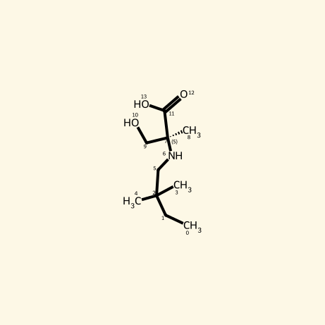 CCC(C)(C)CN[C@@](C)(CO)C(=O)O